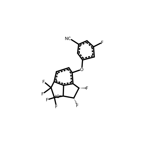 N#Cc1cc(F)cc(Oc2ccc3c4c2[C@H](F)[C@H](F)[C@]4(O)C(F)(F)C3(F)F)c1